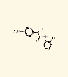 CC(=O)Nc1ccc(N(S)C(=O)Nc2ccccc2Cl)cc1